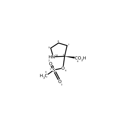 CS(=O)(=O)O[C@@]1(C(=O)O)CCCN1